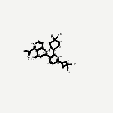 CC(=O)c1nccc2[nH]c(-c3ccc(C4CC(F)(F)C4)nc3C3CCC(F)(F)CC3)cc(=O)c12